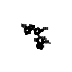 CC(N)c1ncccc1C(=O)O[C@@H]1C[C@H](n2cnc3c(N)ncnc32)OC1CO